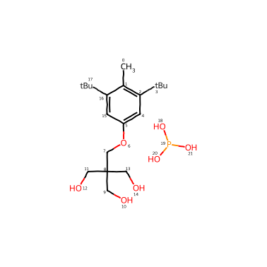 Cc1c(C(C)(C)C)cc(OCC(CO)(CO)CO)cc1C(C)(C)C.OP(O)O